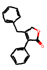 O=C1OCC(Cc2ccccc2)=C1c1ccccc1